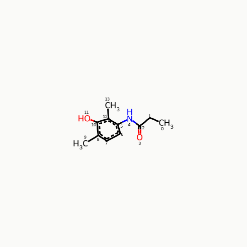 CCC(=O)Nc1ccc(C)c(O)c1C